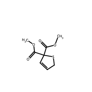 COC(=O)C1(C(=O)OC)C=CCS1